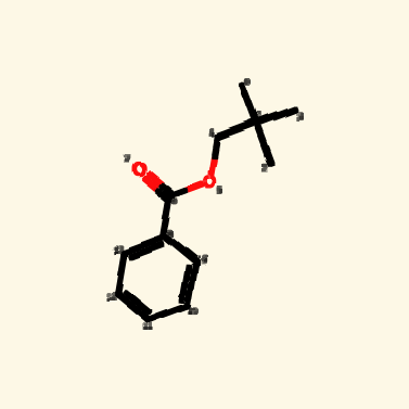 CC(C)(C)COC(=O)c1[c]cccc1